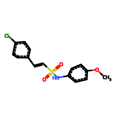 COc1ccc(NS(=O)(=O)/C=C/c2ccc(Cl)cc2)cc1